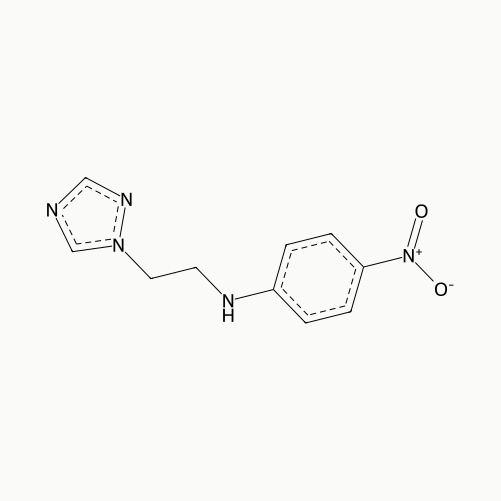 O=[N+]([O-])c1ccc(NCCn2cncn2)cc1